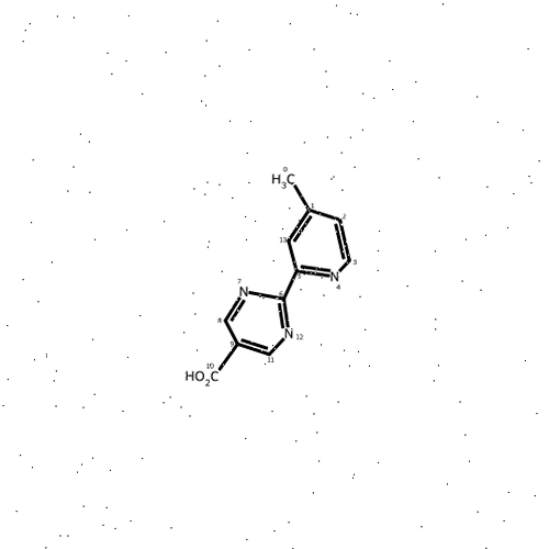 Cc1ccnc(-c2ncc(C(=O)O)cn2)c1